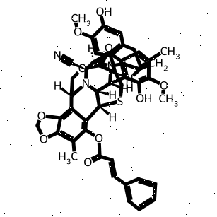 C=CCN1[C@@H]2Cc3cc(C)c(OC)c(O)c3[C@@H]1[C@@H]1[C@@H]3SC[C@]4(NCCc5cc(O)c(OC)cc54)C(=O)OC[C@@H](c4c5c(c(C)c(OC(=O)/C=C/c6ccccc6)c43)OCO5)N1[C@H]2C#N